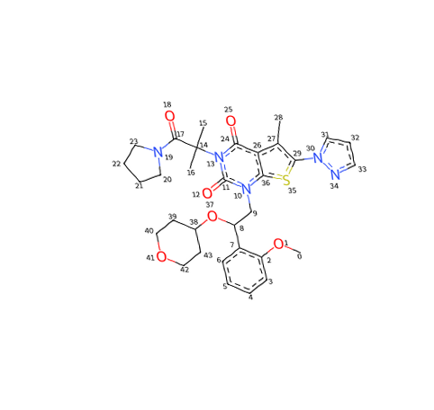 COc1ccccc1C(Cn1c(=O)n(C(C)(C)C(=O)N2CCCC2)c(=O)c2c(C)c(-n3cccn3)sc21)OC1CCOCC1